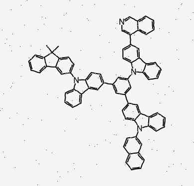 CC1(C)c2ccccc2-c2cc(-n3c4ccccc4c4cc(-c5cc(-c6ccc7c(c6)c6ccccc6n7-c6ccc7ccccc7c6)cc(-n6c7ccccc7c7cc(-c8cncc9ccccc89)ccc76)c5)ccc43)ccc21